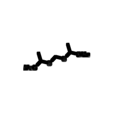 COC(C)OCOC(C)OC